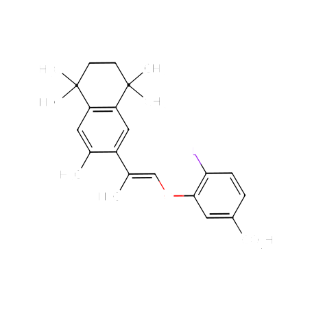 CC(=COc1cc(C(=O)O)ccc1I)c1cc2c(cc1C)C(C)(C)CCC2(C)C